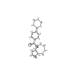 O=C(c1ccc(C2CCCCC2)cc1)N1CCCCc2sccc21